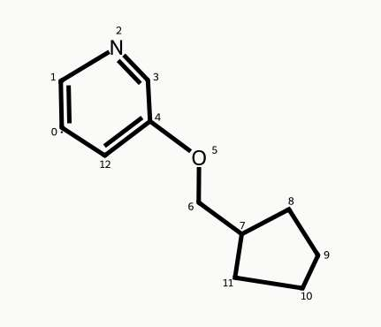 [c]1cncc(OCC2CCCC2)c1